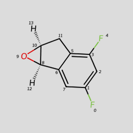 Fc1cc(F)c2c(c1)[C@H]1O[C@H]1C2